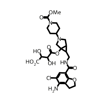 COC(=O)N1CCC(N2CC3C(CNC(=O)c4cc(Cl)c(N)c5c4OCC5)C3(OC(=O)C(O)C(O)C(=O)O)C2)CC1